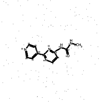 CNC(=O)Nc1ccnc(-c2ccncc2)n1